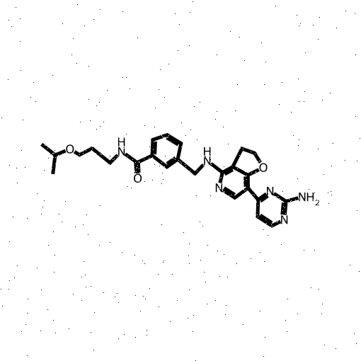 CC(C)OCCCNC(=O)c1cccc(CNc2ncc(-c3ccnc(N)n3)c3c2CCO3)c1